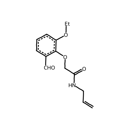 C=CCNC(=O)COc1c(C=O)cccc1OCC